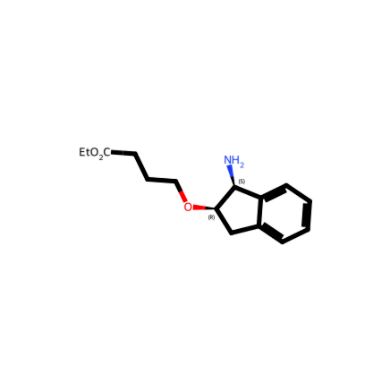 CCOC(=O)CCCO[C@@H]1Cc2ccccc2[C@@H]1N